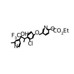 CCOC(=O)Oc1ccc(COc2ccc(C(C)C(O)(c3ccnc(C)c3)C(F)(F)F)c(Cl)c2)cn1